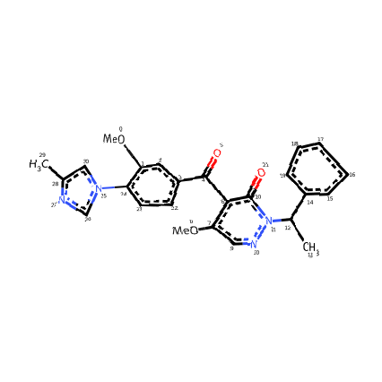 COc1cc(C(=O)c2c(OC)cnn(C(C)c3ccccc3)c2=O)ccc1-n1cnc(C)c1